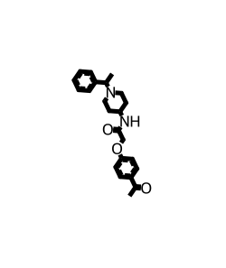 CC(=O)c1ccc(OCC(=O)NC2CCN(C(C)c3ccccc3)CC2)cc1